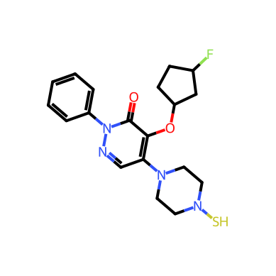 O=c1c(OC2CCC(F)C2)c(N2CCN(S)CC2)cnn1-c1ccccc1